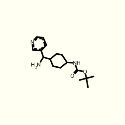 CC(C)(C)OC(=O)NC1CCC(C(N)c2cccnc2)CC1